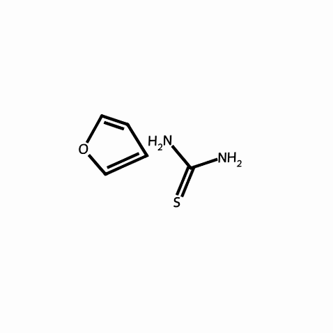 NC(N)=S.c1ccoc1